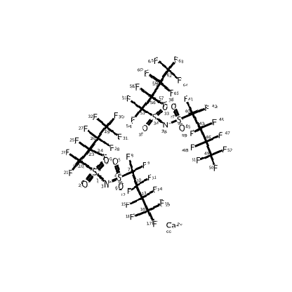 O=S(=O)([N-]S(=O)(=O)C(F)(F)C(F)(F)C(F)(F)C(F)(F)F)C(F)(F)C(F)(F)C(F)(F)C(F)(F)F.O=S(=O)([N-]S(=O)(=O)C(F)(F)C(F)(F)C(F)(F)C(F)(F)F)C(F)(F)C(F)(F)C(F)(F)C(F)(F)F.[Ca+2]